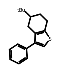 CC(C)(C)C1CCc2scc(-c3ccccc3)c2C1